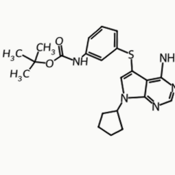 CC(C)(C)OC(=O)Nc1cccc(Sc2cn(C3CCCC3)c3ncnc(N)c23)c1